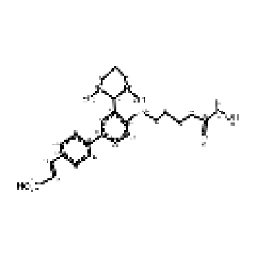 CCN1CCCN(CC)C1c1cc(-c2ccc(/C=C/C(=O)O)cc2)ccc1OCCCCC(=O)NO